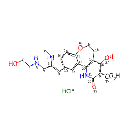 Cl.Cn1c(CNCCO)cc2cc3c(cc21)OCCc1c-3[nH]c(=O)c(C(=O)O)c1O